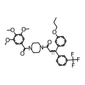 CCCOc1cccc(/C(=C\C(=O)N2CCN(C(=O)c3cc(OC)c(OC)c(OC)c3)CC2)c2cccc(C(F)(F)F)c2)c1